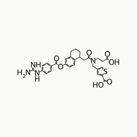 N=C(N)Nc1ccc(C(=O)Oc2ccc3c(c2)CCCC3CC(=O)N(CCC(=O)O)Cc2csc(C(=O)O)c2)cc1